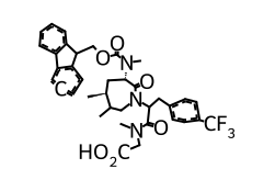 CC1CN(C(Cc2ccc(C(F)(F)F)cc2)C(=O)N(C)CC(=O)O)C(=O)[C@@H](N(C)C(=O)OCC2c3ccccc3-c3ccccc32)C[C@@H]1C